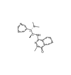 C[C@H](Nc1nn(C)c(=O)c2ccccc12)[C@H](c1cccnc1)N(C)C